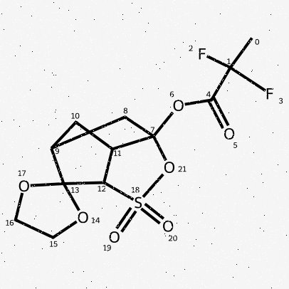 CC(F)(F)C(=O)OC12CC3CC1C(C31OCCO1)S(=O)(=O)O2